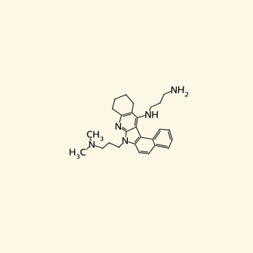 CN(C)CCCn1c2ccc3ccccc3c2c2c(NCCCN)c3c(nc21)CCCC3